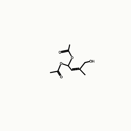 CC(=O)OC(C=C(C)CO)OC(C)=O